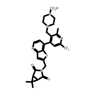 Cc1nc(C(F)(F)F)cc(-c2ccnc3cc(CN4C(=O)C5C(C4=O)C5(C)C)sc23)c1CN1CCN(C(=O)O)CC1